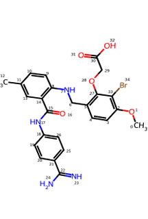 COc1ccc(CNc2ccc(C)cc2C(=O)Nc2ccc(C(=N)N)cc2)c(OCC(=O)O)c1Br